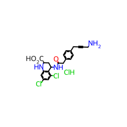 Cl.NCC#CCc1ccc(CC(=O)NC2CC(C(=O)O)Nc3cc(Cl)cc(Cl)c32)cc1